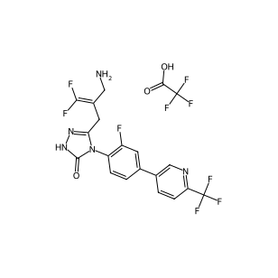 NCC(Cc1n[nH]c(=O)n1-c1ccc(-c2ccc(C(F)(F)F)nc2)cc1F)=C(F)F.O=C(O)C(F)(F)F